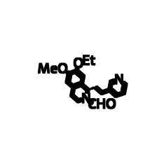 CCOc1cc2c(cc1OC)CCN(C=O)[C@H]2CCc1cccnc1